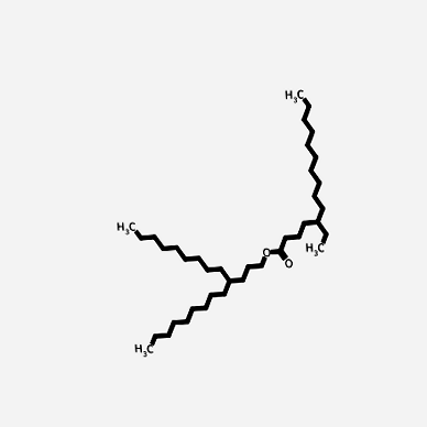 CCCCCCCCCCC(CC)CCCC(=O)OCCCC(CCCCCCCCC)CCCCCCCCC